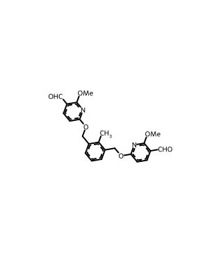 COc1nc(OCc2cccc(COc3ccc(C=O)c(OC)n3)c2C)ccc1C=O